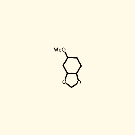 COC1CCC2OCOC2C1